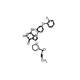 CC#CC(=O)N1CCC[C@H](c2cn(-c3ccc(Oc4ccccc4F)cc3)c3c(N)n[nH]c(=O)c23)C1